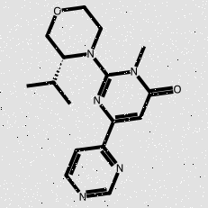 CC(C)[C@@H]1COCCN1c1nc(-c2ccncn2)cc(=O)n1C